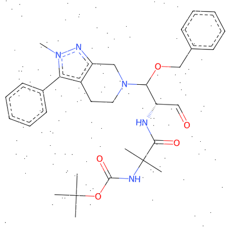 Cn1nc2c(c1-c1ccccc1)CCN(C(OCc1ccccc1)[C@H](C=O)NC(=O)C(C)(C)NC(=O)OC(C)(C)C)C2